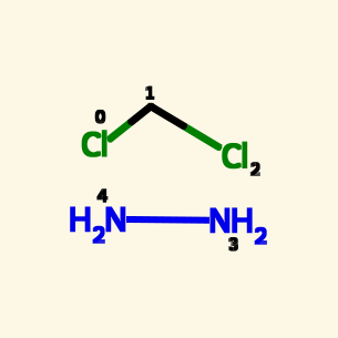 ClCCl.NN